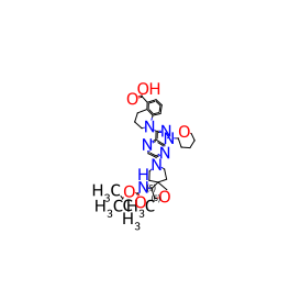 C[C@@H]1OCC2(CCN(c3cnc4c(N5CCCc6c(C(=O)O)cccc65)nn(C5CCCCO5)c4n3)CC2)[C@@H]1NC(=O)OC(C)(C)C